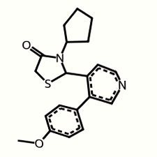 COc1ccc(-c2cnccc2C2SCC(=O)N2C2CCCC2)cc1